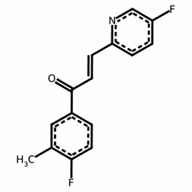 Cc1cc(C(=O)C=Cc2ccc(F)cn2)ccc1F